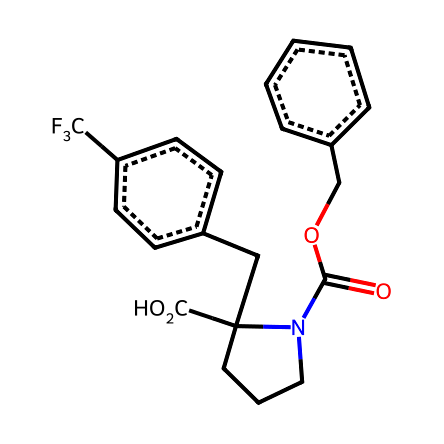 O=C(OCc1ccccc1)N1CCCC1(Cc1ccc(C(F)(F)F)cc1)C(=O)O